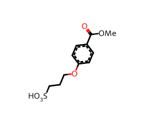 COC(=O)c1ccc(OCCCS(=O)(=O)O)cc1